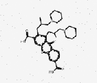 CC(Cc1c(C(=O)O)cc2oc3cc(C(=O)O)ccc3c(=O)c2c1CC(C)CN1CCCCC1)CN1CCCCC1